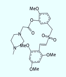 COc1cc(OC)c(/C=C/S(=O)(=O)Cc2ccc(OC)c(OC(=O)CN3CCN(C)CC3)c2)c(OC)c1